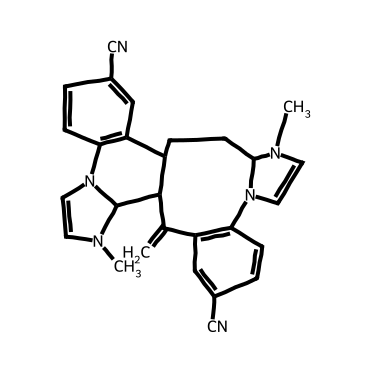 C=C1c2cc(C#N)ccc2N2C=CN(C)C2CCC2c3cc(C#N)ccc3N3C=CN(C)C3C12